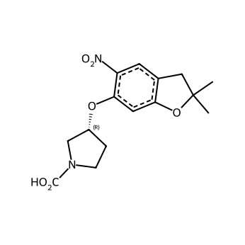 CC1(C)Cc2cc([N+](=O)[O-])c(O[C@@H]3CCN(C(=O)O)C3)cc2O1